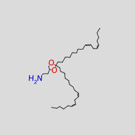 CCCC/C=C\C/C=C\CCCCCCCCC1(CCCCCCCC/C=C\C/C=C\CCCCC)OCC(CCN)O1